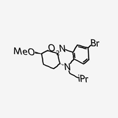 CO[C@H]1CC[C@H](N(CC(C)C)c2ccc(Br)cc2[N+](=O)[O-])CC1